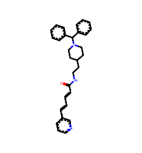 O=C(C=CC=Cc1cccnc1)NCCC1CCN(C(c2ccccc2)c2ccccc2)CC1